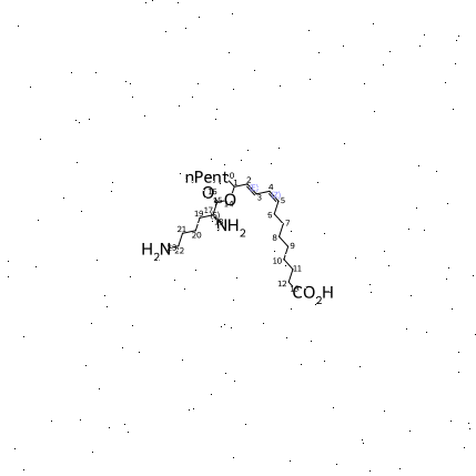 CCCCCC(/C=C/C=C\CCCCCCCC(=O)O)OC(=O)[C@@H](N)CCCCN